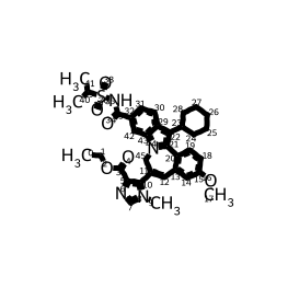 CCOC(=O)c1ncn(C)c1C1=Cc2cc(OC)ccc2-c2c(C3CCCCC3)c3ccc(C(=O)NS(=O)(=O)C(C)C)cc3n2C1